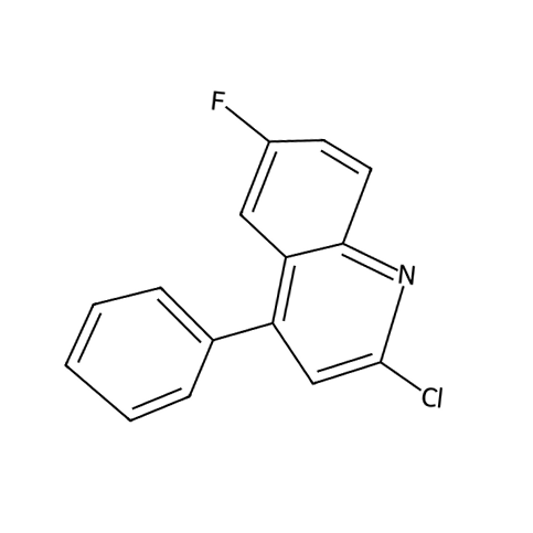 Fc1ccc2nc(Cl)cc(-c3ccccc3)c2c1